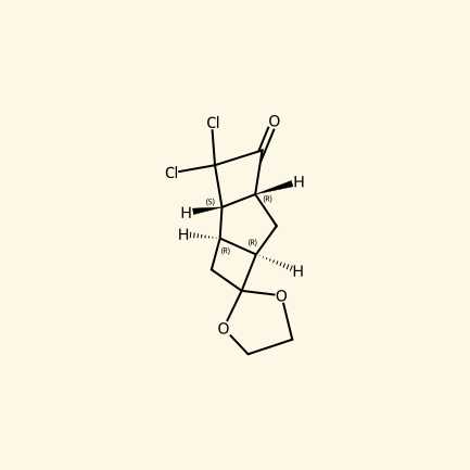 O=C1[C@@H]2C[C@@H]3[C@@H](CC34OCCO4)[C@@H]2C1(Cl)Cl